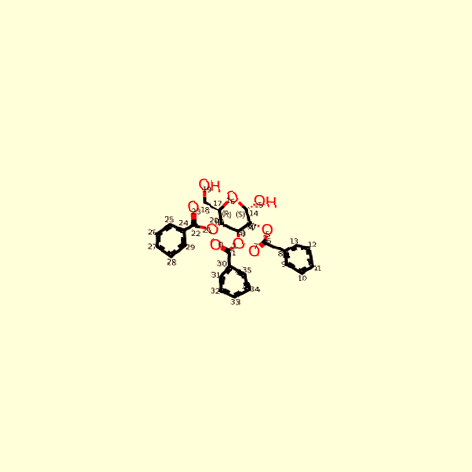 O=C(O[C@@H]1[C@@H](OC(=O)c2ccccc2)[C@@H](O)O[C@H](CO)[C@H]1OC(=O)c1ccccc1)c1ccccc1